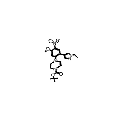 CCn1cc(-c2cc([N+](=O)[O-])c(OC)cc2N2CCN(C(=O)OC(C)(C)C)CC2)cn1